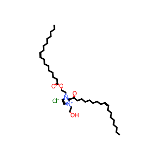 CCCCCCCC/C=C\CCCCCCCC(=O)OCCn1cc[n+](CCO)c1C(=O)CCCCCCC/C=C\CCCCCCCC.[Cl-]